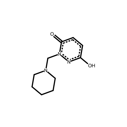 O=c1ccc(O)nn1CN1CCCCC1